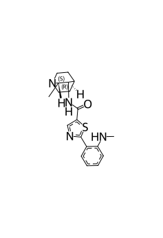 CNc1ccccc1-c1ncc(C(=O)N[C@@H]2C3CCN(CC3)[C@H]2C)s1